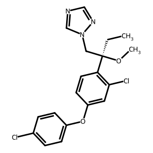 CC[C@](Cn1cncn1)(OC)c1ccc(Oc2ccc(Cl)cc2)cc1Cl